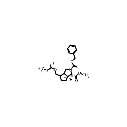 COC(=O)[C@@H]1[C@H]2CCC(COC(S)SC)C2CN1C(=O)OCc1ccccc1